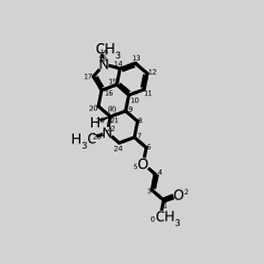 CC(=O)C=COCC1CC2c3cccc4c3c(cn4C)C[C@H]2N(C)C1